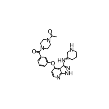 CC(=O)N1CCN(C(=O)c2cccc(Oc3ccnc4[nH]nc(N[C@@H]5CCCNC5)c34)c2)CC1